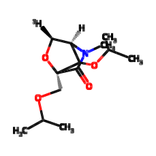 [3H][C@@H]1O[C@]2(COC(C)C)C(=O)N(C)[C@H]1C2OC(C)C